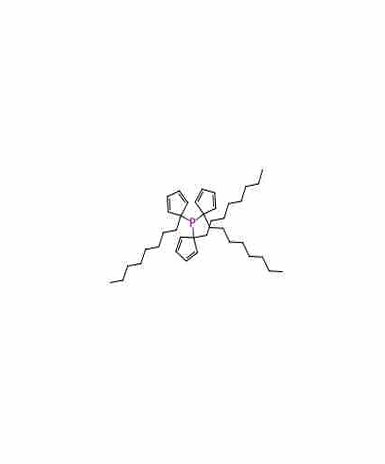 CCCCCCCCC1(P(C2(CCCCCCCC)C=CC=C2)C2(CCCCCCCC)C=CC=C2)C=CC=C1